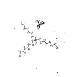 CCCCCCCC[P+](C)(CCCCCCCC)CCCCCCCC.O=[N+]([O-])[O-]